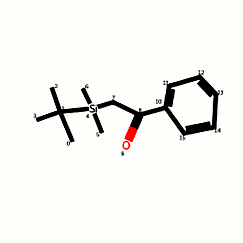 CC(C)(C)[Si](C)(C)[CH]C(=O)c1ccccc1